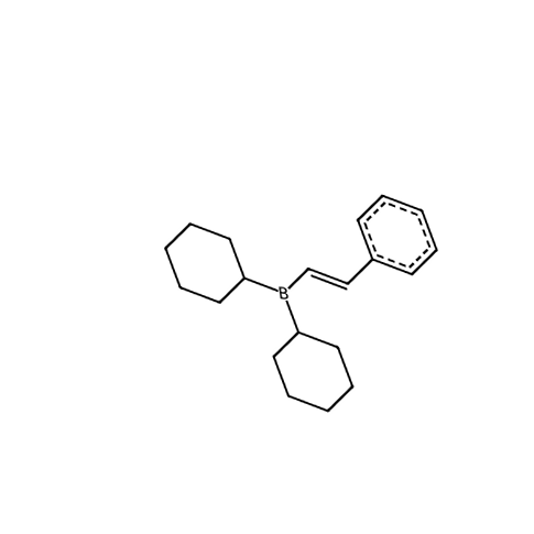 C(=C\c1ccccc1)/B(C1CCCCC1)C1CCCCC1